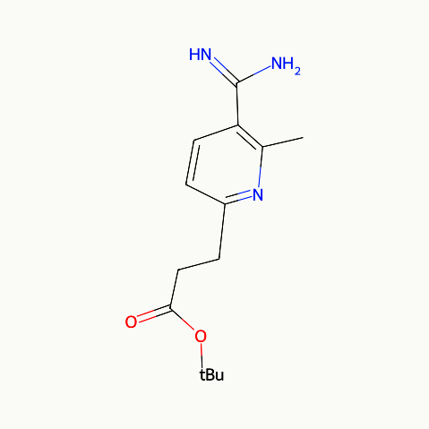 Cc1nc(CCC(=O)OC(C)(C)C)ccc1C(=N)N